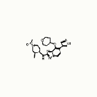 CC1CN([S+](C)[O-])CCC1Nc1nc2c(OC3CCOCC3)c(-c3cn[nH]c3)ccn2n1